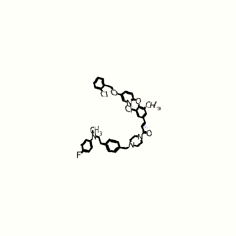 Cc1cc(/C=C/C(=O)N2CCN(Cc3ccc(CCN(C)c4ccc(F)cc4)cc3)CC2)cc(Cl)c1Oc1ccc(OCc2ccccc2Cl)cn1